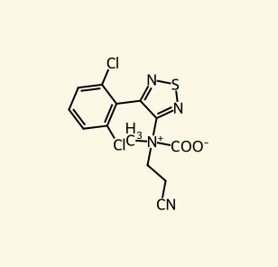 C[N+](CCC#N)(C(=O)[O-])c1nsnc1-c1c(Cl)cccc1Cl